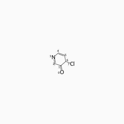 O=C1[C]=NC=CC1Cl